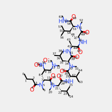 CCCC(=O)N(C)[C@H](CC(CN(C)C)[N+](=O)[O-])C(=O)N(C)[C@@H](CC(C)C)C(=O)N[C@H](C(=O)N(C)[C@@H](CC(C)C)C(=O)N[C@@H](C)C(=O)N[C@H](C)C(=O)N(C)[C@@H](CC(C)C)C(=O)NC)C(C)C